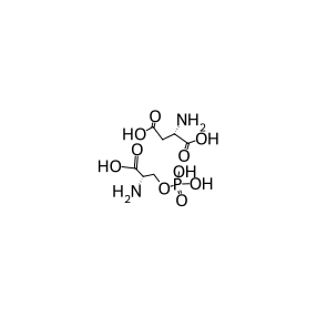 N[C@@H](CC(=O)O)C(=O)O.N[C@@H](COP(=O)(O)O)C(=O)O